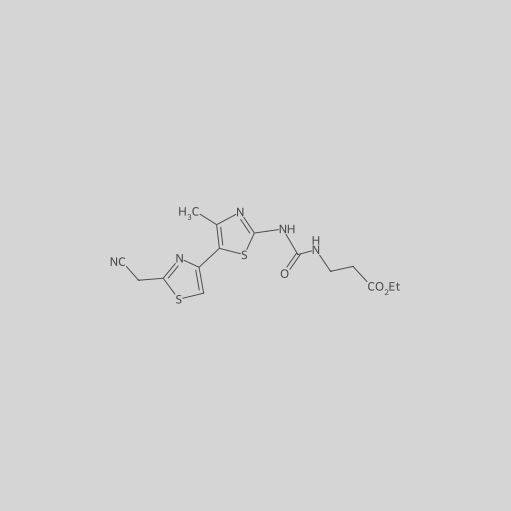 CCOC(=O)CCNC(=O)Nc1nc(C)c(-c2csc(CC#N)n2)s1